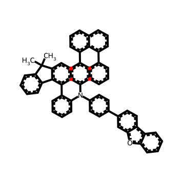 CC1(C)c2ccccc2-c2c(-c3ccccc3N(c3ccc(-c4ccc5c(c4)oc4ccccc45)cc3)c3ccc(-c4cccc5cccc(-c6ccccc6)c45)cc3)cccc21